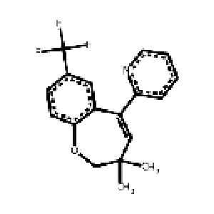 CC1(C)C=C(c2ccccn2)c2cc(C(F)(F)F)ccc2OC1